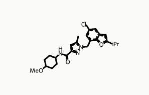 COC1CCC(NC(=O)c2cc(C)n(Cc3cc(Cl)cc4cc(C(C)C)oc34)n2)CC1